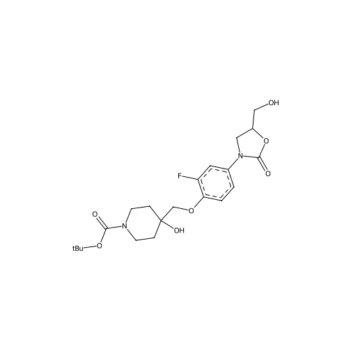 CC(C)(C)OC(=O)N1CCC(O)(COc2ccc(N3CC(CO)OC3=O)cc2F)CC1